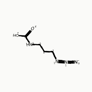 [N-]=[N+]=NCCCNC(=O)O